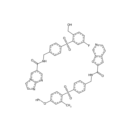 CCCOc1ccc(S(=O)(=O)c2ccc(CNC(=O)c3cc4ccncc4o3)cc2)c(C)c1.O=C(NCc1ccc(S(=O)(=O)c2cc(F)ccc2CO)cc1)c1cnc2nccn2c1